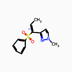 C/C=C(\c1ccn(C)n1)S(=O)(=O)c1ccccc1